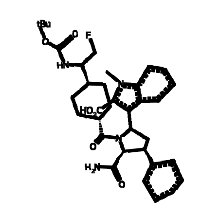 Cn1c(C(=O)O)c(C2C[C@@H](c3ccccc3)[C@@H](C(N)=O)N2C(=O)[C@H]2CC[C@H](C(CF)NC(=O)OC(C)(C)C)CC2)c2ccccc21